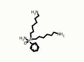 NCCCCCCN(CCCCCCN)P(N)(=O)c1ccccc1